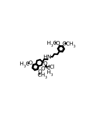 COc1ccc(CCCNCCC2(OC(C)=O)CCc3c(OC)ccc(OC)c3C2)cc1OC.Cl